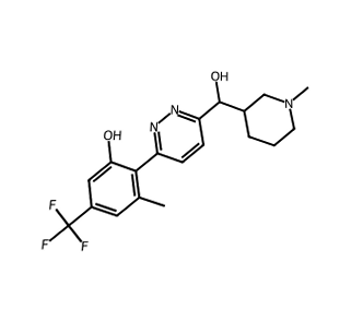 Cc1cc(C(F)(F)F)cc(O)c1-c1ccc(C(O)C2CCCN(C)C2)nn1